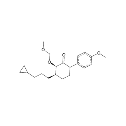 COCO[C@H]1C(=O)C(c2ccc(OC)cc2)CC[C@H]1CCCC1CC1